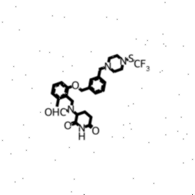 Cc1cccc(OCc2cccc(CN3CCN(SC(F)(F)F)CC3)c2)c1CN(C=O)C1CCC(=O)NC1=O